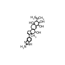 CN(C)[C@H]1C[C@]2(O)CCC3=C(C=C2[C@@H](O)[C@@H]1O)C(O)C[C@]1(C)C(c2ccc4[nH]c(N)nc4c2)=CCC31